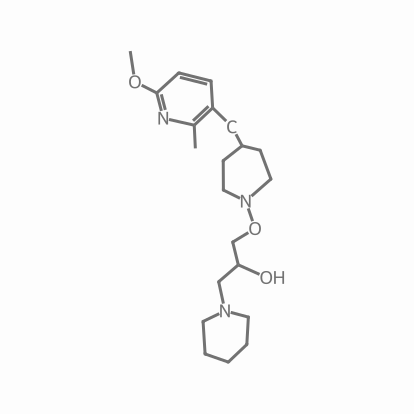 COc1ccc(CC2CCN(OCC(O)CN3CCCCC3)CC2)c(C)n1